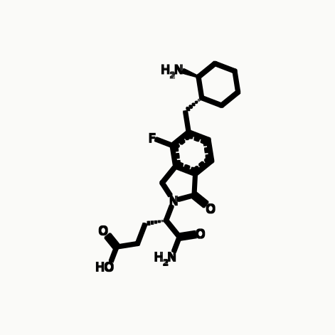 NC(=O)[C@H](CCC(=O)O)N1Cc2c(ccc(C[C@H]3CCCC[C@@H]3N)c2F)C1=O